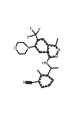 Cc1c(C#N)cccc1C(C)Nc1nnc(C)c2cc(C(F)(F)F)c(N3CCOCC3)cc12